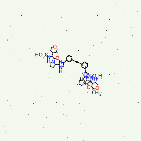 C[C@H]1CC([C@](C)(NC(=O)O)C(=O)N2CCCC2c2nc(-c3cccc(C#Cc4cccc(-c5c[nH]c(C6CCCN6C(=O)C(NC(=O)O)C6CCOCC6)n5)c4)c3)c[nH]2)CCO1